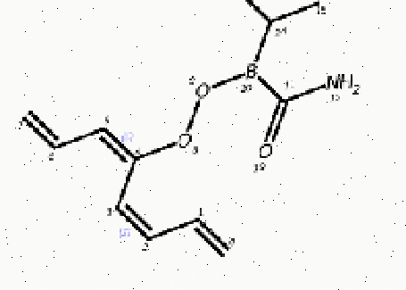 C=C/C=C\C(=C/C=C)OOB(C(N)=O)C(C)C